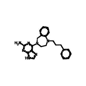 Nc1nc(N2CCN(CCCc3ccccc3)c3ccccc3C2)c2nc[nH]c2n1